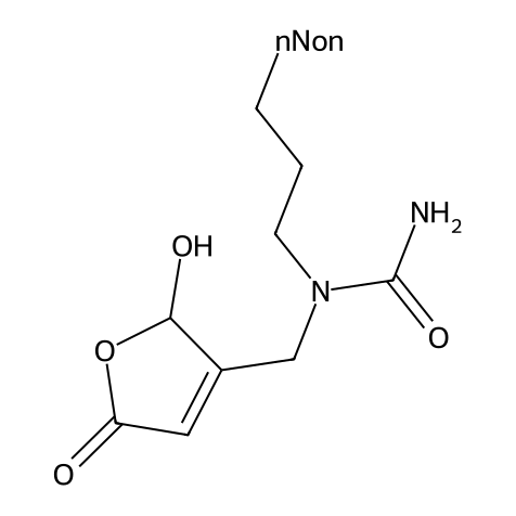 CCCCCCCCCCCCN(CC1=CC(=O)OC1O)C(N)=O